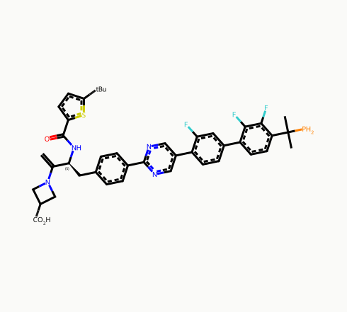 C=C([C@H](Cc1ccc(-c2ncc(-c3ccc(-c4ccc(C(C)(C)P)c(F)c4F)cc3F)cn2)cc1)NC(=O)c1ccc(C(C)(C)C)s1)N1CC(C(=O)O)C1